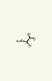 CCC(CC)[C@H](NC(C)=O)C(C)=O